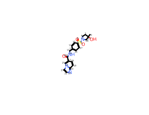 CC1(O)CCN(S(=O)(=O)c2ccc(CNC(=O)c3ccc4nccn4c3)cc2)C1